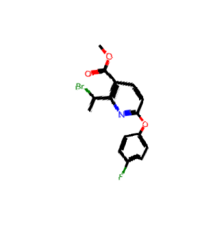 COC(=O)c1ccc(Oc2ccc(F)cc2)nc1C(C)Br